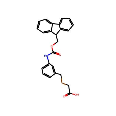 O=C(O)CSCc1cccc(NC(=O)OCC2c3ccccc3-c3ccccc32)c1